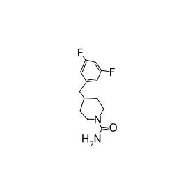 NC(=O)N1CCC(Cc2cc(F)cc(F)c2)CC1